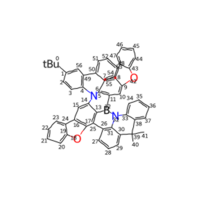 CC(C)(C)c1ccc(N2c3cc4c(cc3B3c5c2cc2c(oc6ccccc62)c5-c2cccc5c2N3c2ccccc2C5(C)C)oc2ccccc24)c(-c2ccccc2)c1